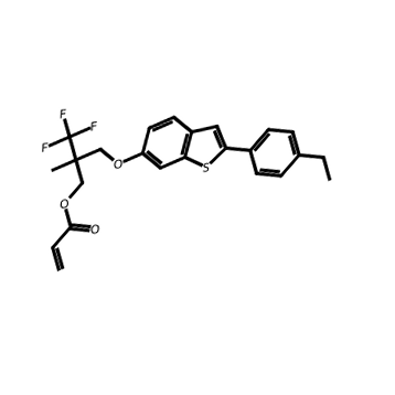 C=CC(=O)OCC(C)(COc1ccc2cc(-c3ccc(CC)cc3)sc2c1)C(F)(F)F